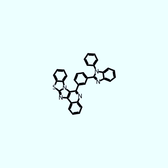 c1ccc(-n2c(-c3cccc(-c4nc5ccccc5c5nc6sc7ccccc7n6c45)c3)nc3ccccc32)cc1